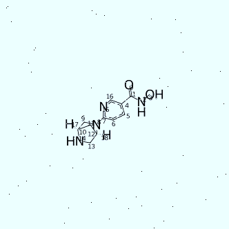 O=C(NO)c1ccc(N2C[C@H]3C[C@@H]2CN3)nc1